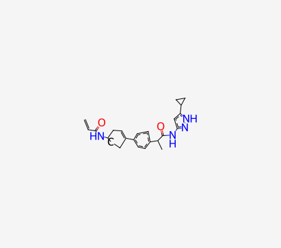 C=CC(=O)NC1CC=C(c2ccc(C(C)C(=O)Nc3cc(C4CC4)[nH]n3)cc2)CC1